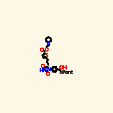 CCCCCC(O)c1ccc(N2C(=O)NC(=O)[C@@H]2CCCc2ccc(C(=O)OCCN3CCCCC3)s2)cc1